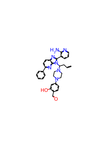 C=CCC(N1CCN(c2ccc(C=O)c(O)c2)CC1)n1c(-c2cccnc2N)nc2ccc(-c3ccccc3)nc21